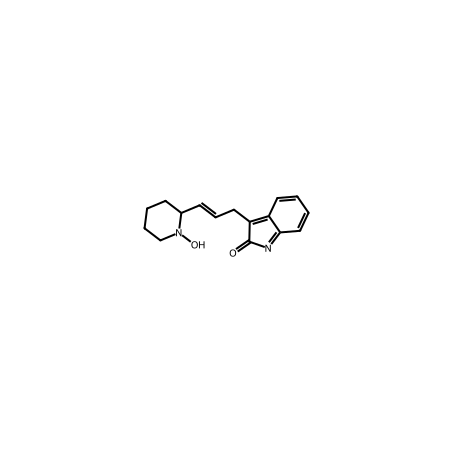 O=C1N=c2ccccc2=C1CC=CC1CCCCN1O